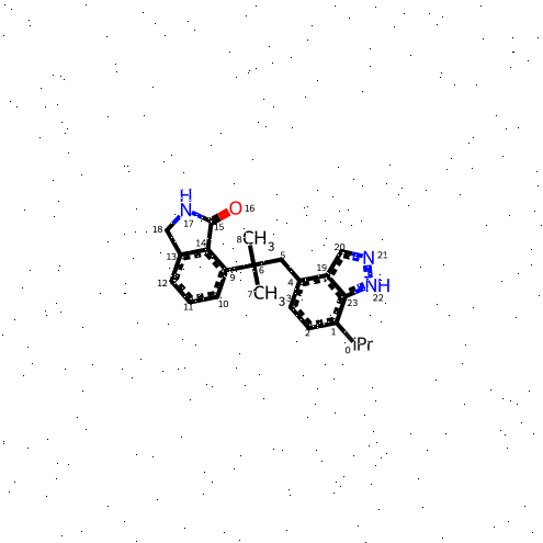 CC(C)c1ccc(CC(C)(C)c2cccc3c2C(=O)NC3)c2cn[nH]c12